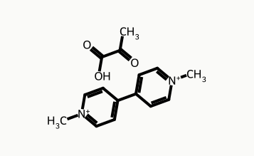 CC(=O)C(=O)O.C[n+]1ccc(-c2cc[n+](C)cc2)cc1